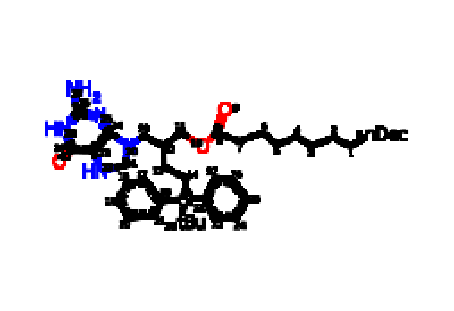 CCCCCCCCCCCCCCCCCC(=O)OCC(CC[Si](c1ccccc1)(c1ccccc1)C(C)(C)C)CN1CNc2c1nc(N)[nH]c2=O